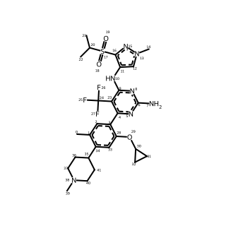 Cc1cc(-c2nc(N)nc(Nc3cn(C)nc3S(=O)(=O)C(C)C)c2C(F)(F)F)c(OC2CC2)cc1C1CCN(C)CC1